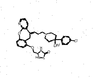 O=C1NC(COc2cccc3c2CC(=CCCN2CCC(O)(c4ccc(Cl)cc4)CC2)c2cccnc2O3)NS1